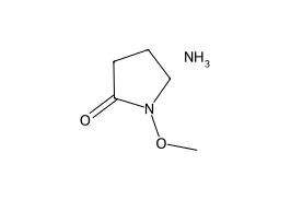 CON1CCCC1=O.N